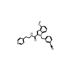 COc1cccc2c1cc(C(=O)NCCc1ccncc1)n2Cc1cccc(C#N)c1